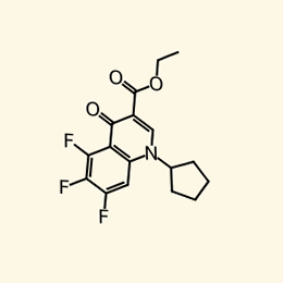 CCOC(=O)c1cn(C2CCCC2)c2cc(F)c(F)c(F)c2c1=O